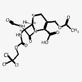 CC(=O)OCC1=C(C(=O)O)N2C(=O)[C@@](NC=O)(NC(=O)OCC(Cl)(Cl)Cl)[C@H]2SC1